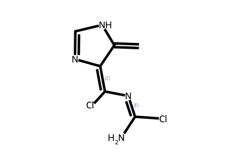 C=c1[nH]cn/c1=C(Cl)/N=C(\N)Cl